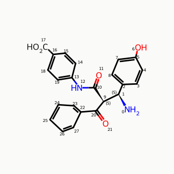 N[C@H](c1ccc(O)cc1)[C@H](C(=O)Nc1ccc(C(=O)O)cc1)C(=O)c1ccccc1